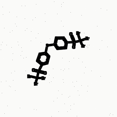 O=S(=O)(c1ccc(Sc2ccc(S(=O)(=O)C(Br)(Br)Br)cc2)cc1)C(Br)(Br)Br